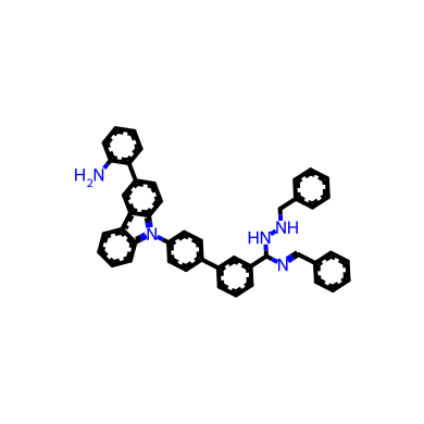 Nc1ccccc1-c1ccc2c(c1)c1ccccc1n2-c1ccc(-c2cccc(C(/N=C/c3ccccc3)NNCc3ccccc3)c2)cc1